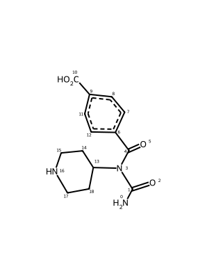 NC(=O)N(C(=O)c1ccc(C(=O)O)cc1)C1CCNCC1